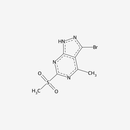 Cc1nc(S(C)(=O)=O)nc2[nH]nc(Br)c12